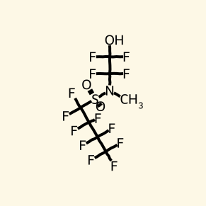 CN(C(F)(F)C(O)(F)F)S(=O)(=O)C(F)(F)C(F)(F)C(F)(F)C(F)(F)F